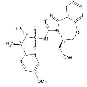 COC[C@@H]1COc2ccccc2-c2nnc(NS(=O)(=O)[C@@H](C)[C@H](C)c3ncc(OC)cn3)n21